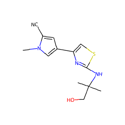 Cn1cc(-c2csc(NC(C)(C)CO)n2)cc1C#N